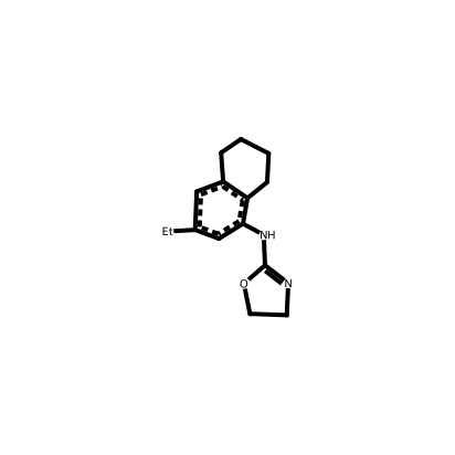 CCc1cc2c(c(NC3=NCCO3)c1)CCCC2